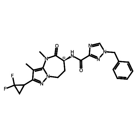 Cc1c(C2CC2(F)F)nn2c1N(C)C(=O)[C@@H](NC(=O)c1ncn(Cc3ccccc3)n1)CC2